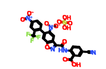 N#Cc1ccc(NC(=O)c2noc3cc(-c4ccc([N+](=O)[O-])cc4C(F)(F)F)c([N+](=O)[O-])cc23)c(C(=O)O)c1.O=S(=O)(O)O